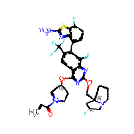 C=CC(=O)N1CC[C@H](Oc2nc(OC[C@@]34CCCN3C[C@H](F)C4)nc3c(F)c(-c4ccc(F)c5sc(N)nc45)c(C(F)(F)F)cc23)C1